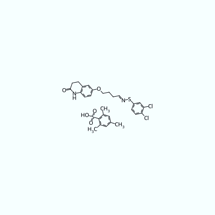 Cc1cc(C)c(S(=O)(=O)O)c(C)c1.O=C1CCc2cc(OCCCC=NSc3ccc(Cl)c(Cl)c3)ccc2N1